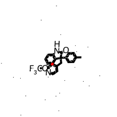 Cc1ccc(C2(Cc3ccncc3)C(=O)Nc3ccc(OC(F)(F)F)cc32)cc1